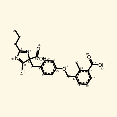 CCCC1=NC(Cc2ccc(OCc3cccc(C(=O)O)c3C)cc2)(C(=O)O)C(Cl)=N1